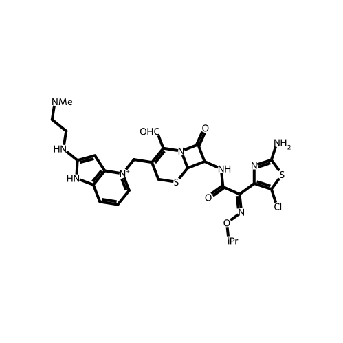 CNCCNc1cc2c(ccc[n+]2CC2=C(C=O)N3C(=O)C(NC(=O)/C(=N\OC(C)C)c4nc(N)sc4Cl)C3SC2)[nH]1